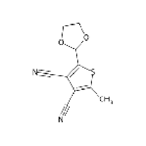 Cc1sc(C2OCCO2)c(C#N)c1C#N